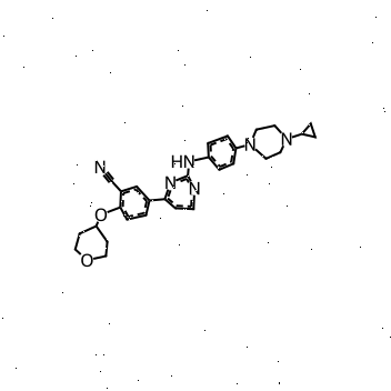 N#Cc1cc(-c2ccnc(Nc3ccc(N4CCN(C5CC5)CC4)cc3)n2)ccc1OC1CCOCC1